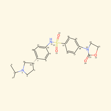 CC(C)N1CC[C@@H](c2ccc(NS(=O)(=O)c3ccc(N4CCOC4=O)cc3)cc2)C1